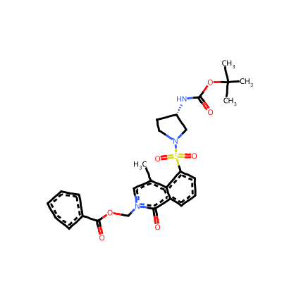 Cc1cn(COC(=O)c2ccccc2)c(=O)c2cccc(S(=O)(=O)N3CC[C@H](NC(=O)OC(C)(C)C)C3)c12